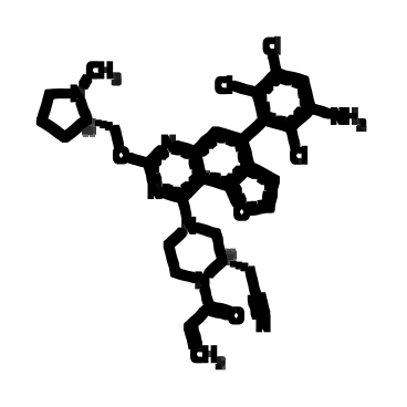 C=CC(=O)N1CCN(c2nc(OC[C@@H]3CCCN3C)nc3cc(-c4c(Cl)c(N)cc(Cl)c4Cl)c4ccoc4c23)C[C@@H]1CC#N